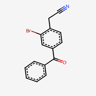 N#CCc1ccc(C(=O)c2ccccc2)cc1Br